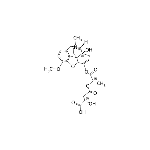 COc1ccc2c3c1OC1C(OC(=O)[C@H](C)OC(=O)C[C@H](O)C(=O)O)=CC[C@@]4(O)[C@@H](C2)N(C)CCC314